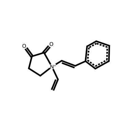 C=C[N+]1(C=Cc2ccccc2)CCC(=O)C1=O